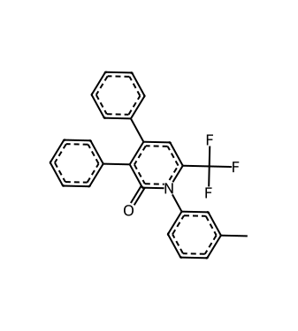 Cc1cccc(-n2c(C(F)(F)F)cc(-c3ccccc3)c(-c3ccccc3)c2=O)c1